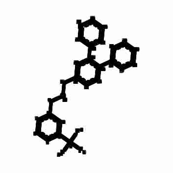 FC(F)(F)c1cccc(COCc2ccc(-c3ccccc3)c(-c3cccnc3)c2)c1